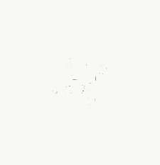 N#Cc1ccc(-c2nn3c(-c4ccccc4)cc4cc(-c5ccccc5)c(-c5ccccc5)cc4c3c2-c2ccc(-c3ccccc3)cc2)cc1